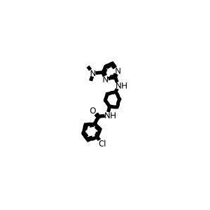 CN(C)c1ccnc(NC2CCC(NC(=O)c3cccc(Cl)c3)CC2)n1